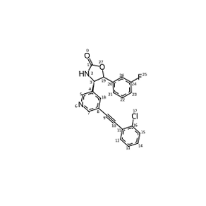 O=C1N[C@H](c2cncc(C#Cc3ccccc3Cl)c2)C(c2cccc(F)c2)O1